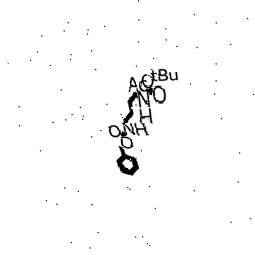 CC(=O)C(CCCNC(=O)OCc1ccccc1)NC(=O)OC(C)(C)C